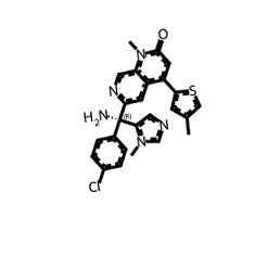 Cc1csc(-c2cc(=O)n(C)c3cnc([C@](N)(c4ccc(Cl)cc4)c4cncn4C)cc23)c1